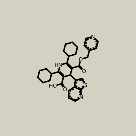 O=C(O)C1=C(C2CCCCC2)NC(C2CCCCC2)=C(C(=O)OCc2ccncc2)C1c1csc2ncccc12